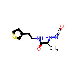 C[C@H](NN=C=O)C(=O)NCCc1ccsc1